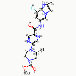 CC[C@@H]1CN(C(=O)OC(C)(C)C)CCN1c1cnc(C(=O)Nc2cc(F)c3nc(C)cn3c2)cn1